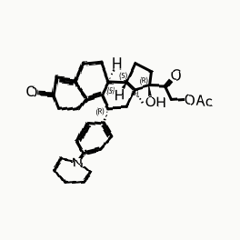 CC(=O)OCC(=O)[C@@]1(O)CC[C@H]2[C@@H]3CCC4=CC(=O)CCC4=C3[C@@H](c3ccc(N4CCCCC4)cc3)C[C@@]21C